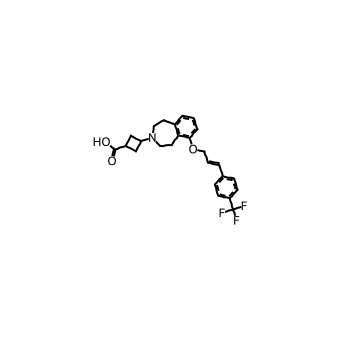 O=C(O)C1CC(N2CCc3cccc(OC/C=C/c4ccc(C(F)(F)F)cc4)c3CC2)C1